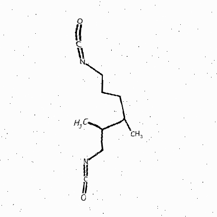 CC(CCCN=C=O)C(C)CN=C=O